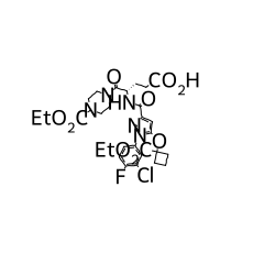 CCOC(=O)N1CCN(C(=O)[C@H](CCC(=O)O)NC(=O)c2cc(OC3(C(=O)OCC)CCC3)n(-c3ccc(F)c(Cl)c3)n2)CC1